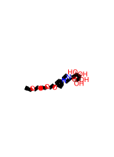 C#CCOCCOCCOCCOc1ccc(N2CCN(C[C@H]3O[C@H](O)[C@H](O)[C@@H](O)[C@H]3O)CC2)cc1